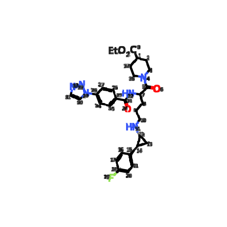 CCOC(=O)C1CCN(C(=O)C(CCCN[C@@H]2C[C@H]2c2ccc(F)cc2)NC(=O)c2ccc(-n3ccnn3)cc2)CC1